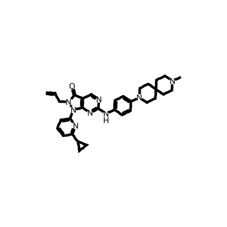 C=CCn1c(=O)c2cnc(Nc3ccc(N4CCC5(CCN(C)CC5)CC4)cc3)nc2n1-c1cccc(C2CC2)n1